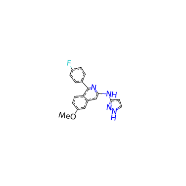 COc1ccc2c(-c3ccc(F)cc3)nc(Nc3cc[nH]n3)cc2c1